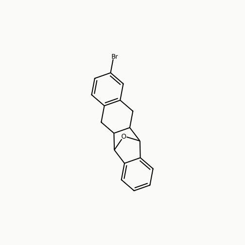 Brc1ccc2c(c1)CC1C3OC(c4ccccc43)C1C2